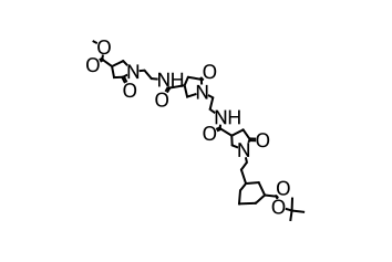 COC(=O)C1CC(=O)N(CCNC(=O)C2CC(=O)N(CCNC(=O)C3CC(=O)N(CCC4CCCC(C(=O)OC(C)(C)C)C4)C3)C2)C1